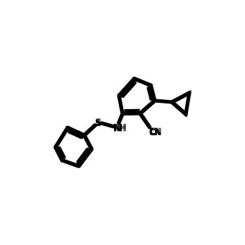 N#Cc1c(NSc2ccccc2)cccc1C1CC1